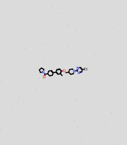 CCc1cnc(N2CCC(COc3ccc(C4=CCC(C(=O)N5CCCC5)CC4)cc3C)CC2)nc1